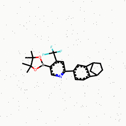 CC1(C)OB(c2cnc(-c3ccc4c(c3)C3CCC4C3)cc2C(F)(F)F)OC1(C)C